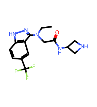 CCN(CC(=O)NC1CNC1)c1n[nH]c2ccc(C(F)(F)F)cc12